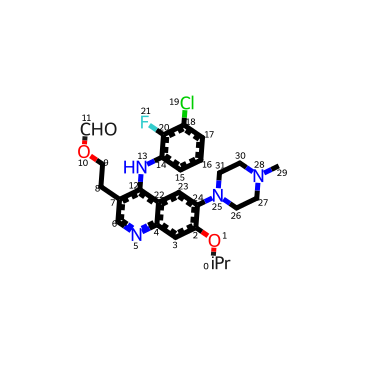 CC(C)Oc1cc2ncc(CCOC=O)c(Nc3cccc(Cl)c3F)c2cc1N1CCN(C)CC1